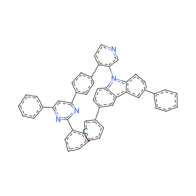 c1ccc(-c2ccc3c(c2)c2cc(-c4ccccc4)ccc2n3-c2cnccc2-c2ccc(-c3cc(-c4ccccc4)nc(-c4ccccc4)n3)cc2)cc1